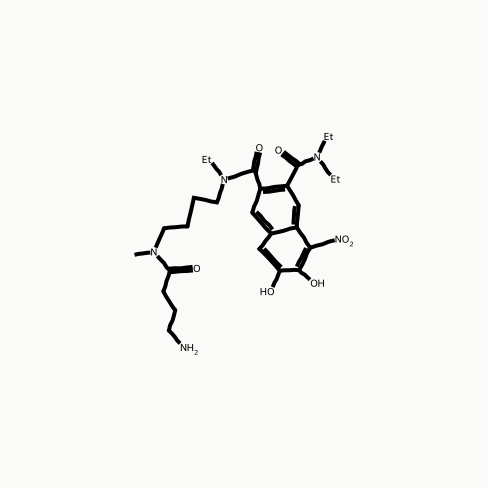 CCN(CC)C(=O)c1cc2c([N+](=O)[O-])c(O)c(O)cc2cc1C(=O)N(CC)CCCCN(C)C(=O)CCCN